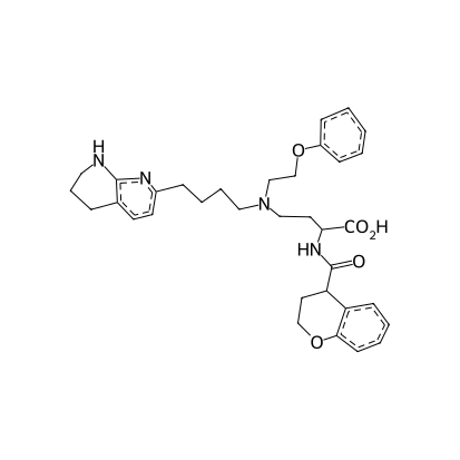 O=C(O)C(CCN(CCCCc1ccc2c(n1)NCCC2)CCOc1ccccc1)NC(=O)C1CCOc2ccccc21